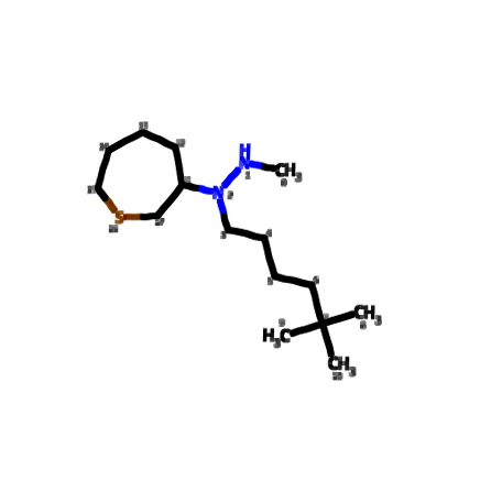 CNN(CCCCC(C)(C)C)C1CCCCSC1